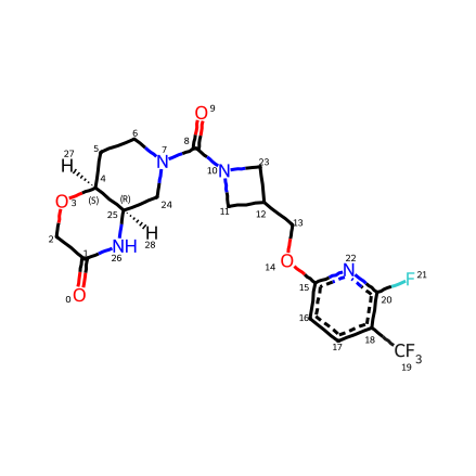 O=C1CO[C@H]2CCN(C(=O)N3CC(COc4ccc(C(F)(F)F)c(F)n4)C3)C[C@H]2N1